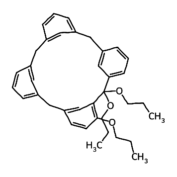 CCCOc1ccc2cc1C(OCCC)(OCCC)c1cccc(c1)Cc1cccc(c1)Cc1cccc(c1)C2